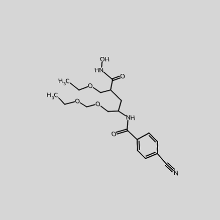 CCOCOCC(CC(COCC)C(=O)NO)NC(=O)c1ccc(C#N)cc1